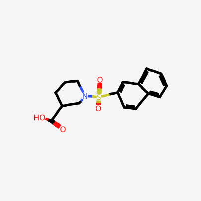 O=C(O)C1CCCN(S(=O)(=O)c2ccc3ccccc3c2)C1